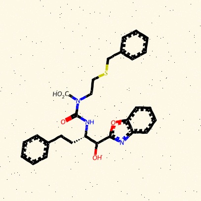 O=C(O)N(CCSCc1ccccc1)C(=O)N[C@@H](CCc1ccccc1)C(O)c1nc2ccccc2o1